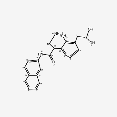 Cc1c(CB(O)O)cccc1C(CN)C(=O)Nc1ccc2cnccc2c1